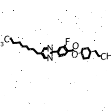 CCCCCCCCCc1cnc(-c2ccc(C(=O)O[C@H]3CC[C@H](CCC)CC3)c(F)c2)nc1